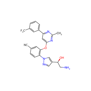 Cc1nc(Oc2cc(C#N)ccc2-n2cc([C@@H](O)CN)cn2)cc(-c2cccc(C(F)(F)F)c2)n1